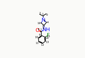 CC(C)N1CC(NC(=O)c2ccccc2F)C1